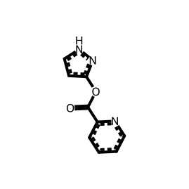 O=C(Oc1cc[nH]n1)c1ccccn1